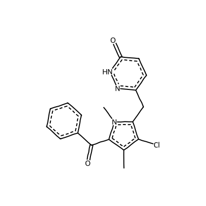 Cc1c(Cl)c(Cc2ccc(=O)[nH]n2)n(C)c1C(=O)c1ccccc1